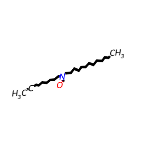 CCCCCCCCCCCCCN(C=O)CCCCCCCCCC